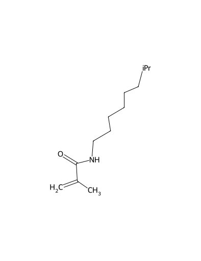 C=C(C)C(=O)NCCCCCCC(C)C